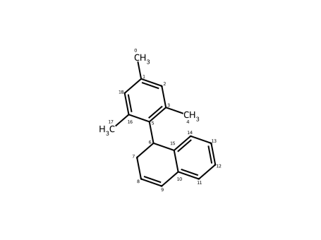 Cc1cc(C)c(C2CC=Cc3ccccc32)c(C)c1